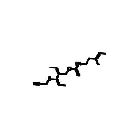 C#CCOC(=C/C)/C(=C\C)COC(=O)NCC/C(C)=C/C